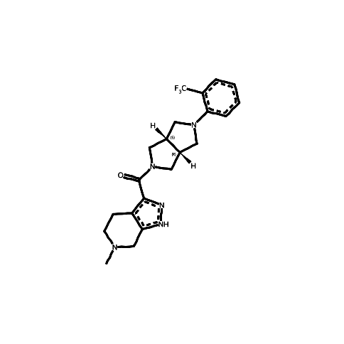 CN1CCc2c(C(=O)N3C[C@@H]4CN(c5ccccc5C(F)(F)F)C[C@@H]4C3)n[nH]c2C1